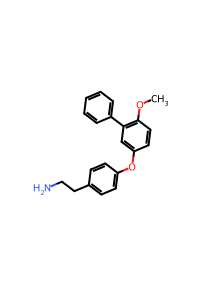 COc1ccc(Oc2ccc(CCN)cc2)cc1-c1ccccc1